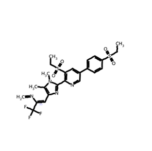 C=N/C(=C\c1nc(-c2ncc(-c3ccc(S(=O)(=O)CC)cc3)cc2S(=O)(=O)CC)n(C)c1C)C(F)(F)F